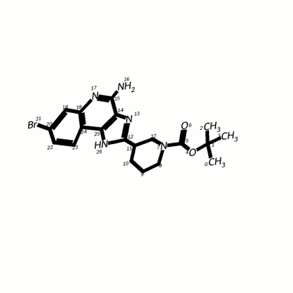 CC(C)(C)OC(=O)N1CCCC(c2nc3c(N)nc4cc(Br)ccc4c3[nH]2)C1